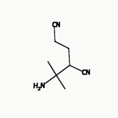 CC(C)(N)C(C#N)CCC#N